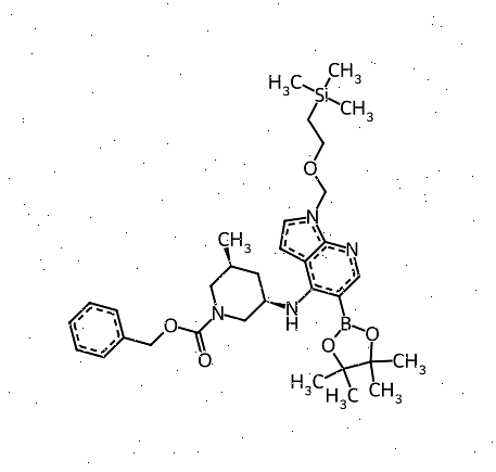 C[C@H]1C[C@@H](Nc2c(B3OC(C)(C)C(C)(C)O3)cnc3c2ccn3COCC[Si](C)(C)C)CN(C(=O)OCc2ccccc2)C1